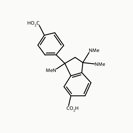 CNC1(NC)CC(NC)(c2ccc(C(=O)O)cc2)c2cc(C(=O)O)ccc21